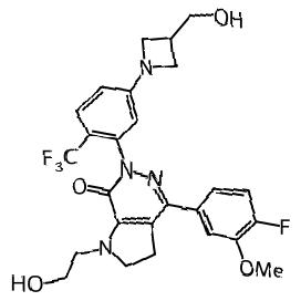 COc1cc(-c2nn(-c3cc(N4CC(CO)C4)ccc3C(F)(F)F)c(=O)c3c2CCN3CCO)ccc1F